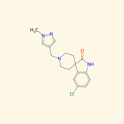 Cn1cc(CN2CCC3(CC2)C(=O)Nc2ccc(Cl)cc23)cn1